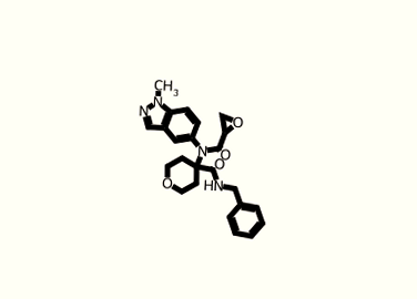 Cn1ncc2cc(N(C(=O)C3CO3)C3(C(=O)NCc4ccccc4)CCOCC3)ccc21